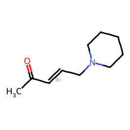 CC(=O)/C=C/CN1CCCCC1